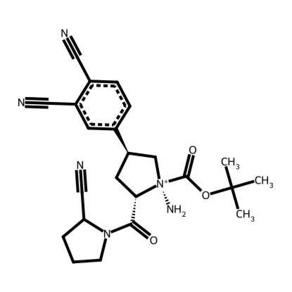 CC(C)(C)OC(=O)[N@+]1(N)C[C@H](c2ccc(C#N)c(C#N)c2)C[C@H]1C(=O)N1CCCC1C#N